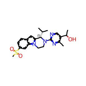 Cc1nc(N2CCn3c(cc4ccc(S(C)(=O)=O)cc43)[C@@H]2C(C)C)ncc1C(C)O